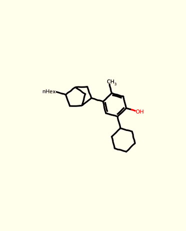 CCCCCCC1CC2CC1CC2c1cc(C2CCCCC2)c(O)cc1C